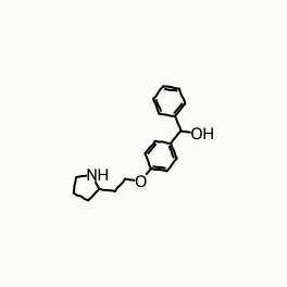 OC(c1ccccc1)c1ccc(OCCC2CCCN2)cc1